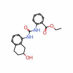 CCOC(=O)c1ccccc1NC(=O)Nc1cccc2c1CC(O)CC2